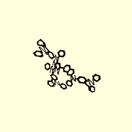 c1ccc(N(c2ccc3ccc(-c4cc(N(c5ccccc5)c5ccc6c(c5)c5ccccc5n6-c5ccccc5)nc(N(c5ccccc5)c5ccc6c(c5)c5ccccc5n6-c5ccccc5)n4)cc3c2)c2ccc3c(c2)c2ccccc2n3-c2ccccc2)cc1